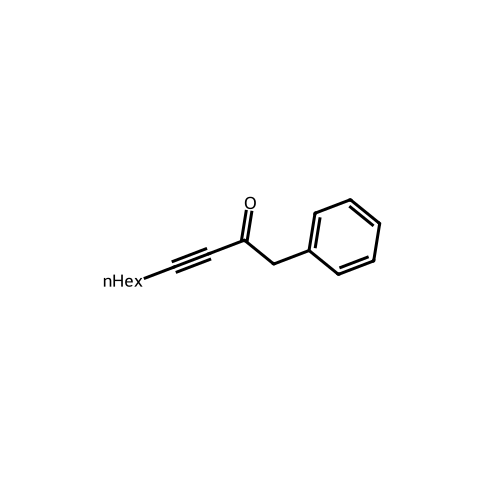 CCCCCCC#CC(=O)Cc1ccccc1